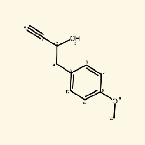 C#CC(O)Cc1ccc(OC)cc1